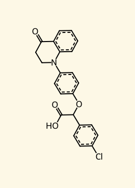 O=C1CCN(c2ccc(OC(C(=O)O)c3ccc(Cl)cc3)cc2)c2ccccc21